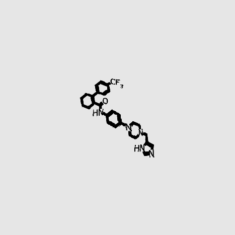 O=C(Nc1ccc(N2CCN(Cc3cnc[nH]3)CC2)cc1)C1=C(c2ccc(C(F)(F)F)cc2)CCCC1